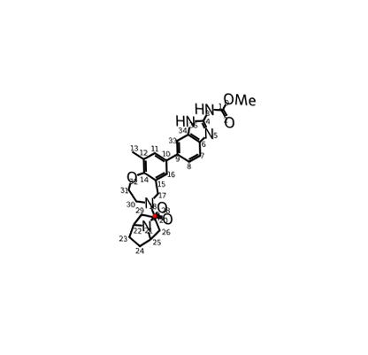 COC(=O)Nc1nc2ccc(-c3cc(C)c4c(c3)CN(C(=O)N3C5CCC3CC(=O)C5)CCO4)cc2[nH]1